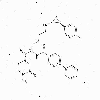 CN1CCN(C(=O)[C@H](CCCCNC2C[C@H]2c2ccc(F)cc2)NC(=O)c2ccc(-c3ccccc3)cc2)CC1=O